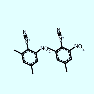 Cc1cc(C)c([N+]#N)c([N+](=O)[O-])c1.Cc1cc(C)c([N+]#N)c([N+](=O)[O-])c1